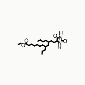 CCCCC(CCC1NC(=O)NC1=O)CC(CCC)CCCCCCC(=O)OCC